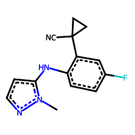 Cn1nccc1Nc1ccc(F)cc1C1(C#N)CC1